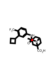 CC1CC2CC(C(=O)O)(C1)N2C(=O)Nc1ccc(C(F)(F)F)c(C2CCC2)c1